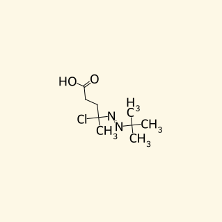 CC(C)(C)/N=N/C(C)(Cl)CCC(=O)O